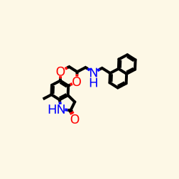 Cc1cc2c(c3c1NC(=O)C3)OC(CNCc1cccc3ccccc13)CO2